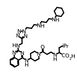 CC(C)CC(NCCC(=O)N1CCC(Nc2nc(NCc3nnn(CCCNCCCNC4CCCCC4)n3)nc3ccccc23)CC1)C(=O)O